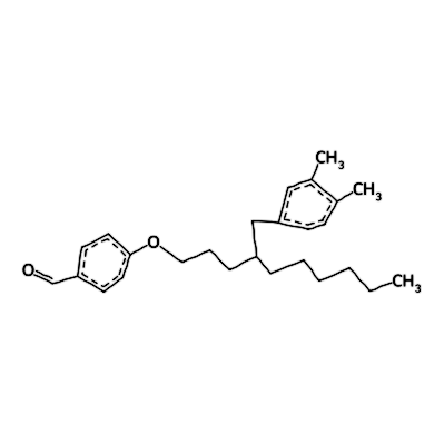 CCCCCCC(CCCOc1ccc(C=O)cc1)Cc1ccc(C)c(C)c1